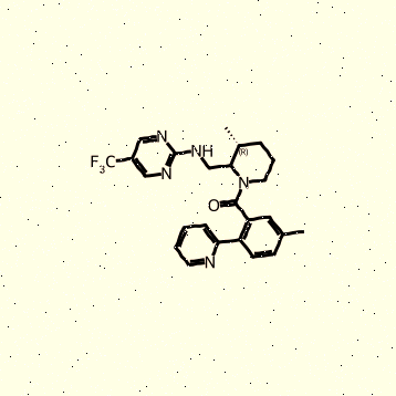 Cc1ccc(-c2ccccn2)c(C(=O)N2CCC[C@@H](C)C2CNc2ncc(C(F)(F)F)cn2)c1